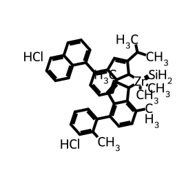 CC1=Cc2c(-c3ccccc3C)ccc(C)c2[CH]1[Zr]([CH3])([CH3])(=[SiH2])[CH]1C(C(C)C)=Cc2c(-c3cccc4ccccc34)cccc21.Cl.Cl